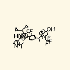 CC(C(=O)N(CC(=O)O)CC(F)(F)F)c1ccc(NC(=O)[C@@H](NC(=O)c2ccnn2C(C)C)C(C2CC2)C2CC2)c(F)c1